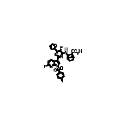 Cc1ccc(S(=O)(=O)n2cc(-c3nc(NC4C5CCC(CC5)C4C(=O)O)c(F)c(-c4ccco4)n3)c3ccc(F)nc32)cc1